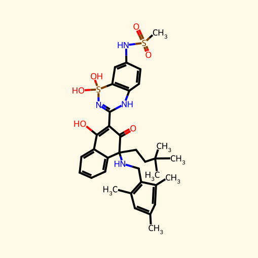 Cc1cc(C)c(CNC2(CCC(C)(C)C)C(=O)C(C3=NS(O)(O)c4cc(NS(C)(=O)=O)ccc4N3)=C(O)c3ccccc32)c(C)c1